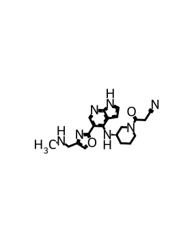 CNCc1coc(-c2cnc3[nH]ccc3c2N[C@@H]2CCCN(C(=O)CC#N)C2)n1